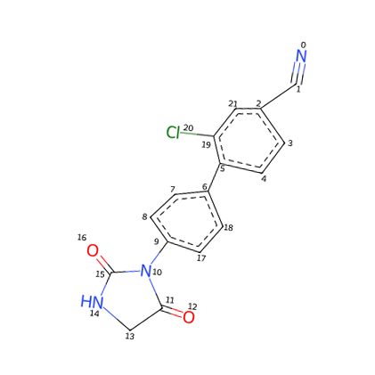 N#Cc1ccc(-c2ccc(N3C(=O)CNC3=O)cc2)c(Cl)c1